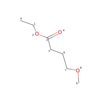 C[CH]OC(=O)CCCOC